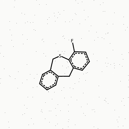 Fc1cccc2c1SCc1ccccc1C2